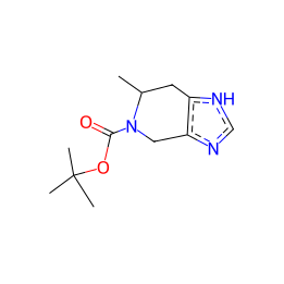 CC1Cc2[nH]cnc2CN1C(=O)OC(C)(C)C